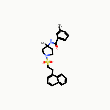 N#CC1(NC(=O)c2cccc(C(F)(F)F)c2)CCN(S(=O)(=O)CCc2cccc3ccccc23)CC1